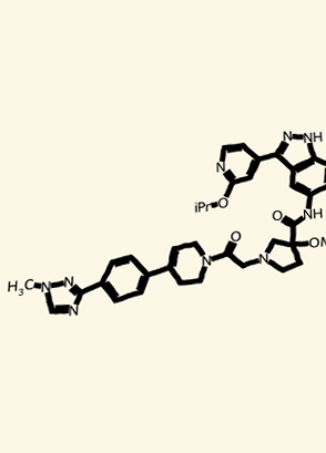 COC1(C(=O)Nc2ccc3[nH]nc(-c4ccnc(OC(C)C)c4)c3c2)CCN(CC(=O)N2CC=C(c3ccc(-c4ncn(C)n4)cc3)CC2)C1